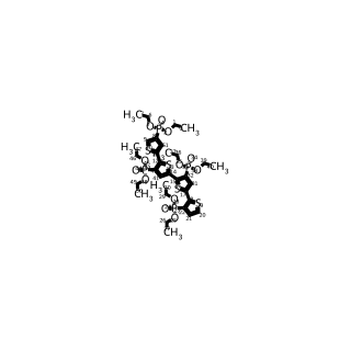 CCOP(=O)(OCC)c1csc(-c2sc(-c3sc(-c4sccc4P(=O)(OCC)OCC)cc3P(=O)(OCC)OCC)cc2P(=O)(OCC)OCC)c1